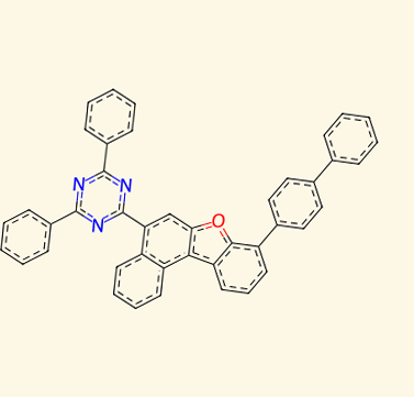 c1ccc(-c2ccc(-c3cccc4c3oc3cc(-c5nc(-c6ccccc6)nc(-c6ccccc6)n5)c5ccccc5c34)cc2)cc1